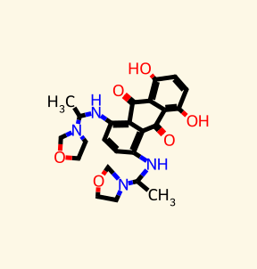 CC(Nc1ccc(NC(C)N2CCOC2)c2c1C(=O)c1c(O)ccc(O)c1C2=O)N1CCOC1